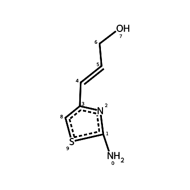 Nc1nc(/C=C/CO)cs1